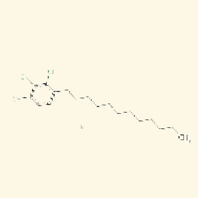 CCCCCCCCCCCCc1ccc(Cl)c(Cl)c1Cl.[Ti]